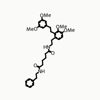 COc1cc(CCc2c(CCNC(=O)CCCCC(=O)NCCc3ccccc3)ccc(OC)c2OC)cc(OC)c1